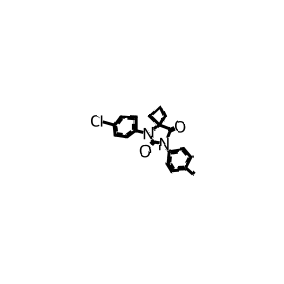 Cc1ccc(N2C(=O)N(c3ccc(Cl)cc3)C3(CCC3)C2=O)cc1